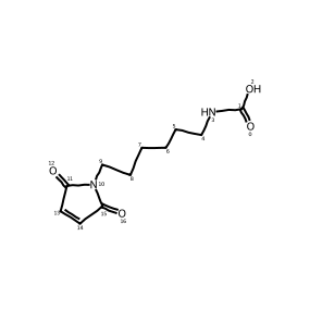 O=C(O)NCCCCCCN1C(=O)C=CC1=O